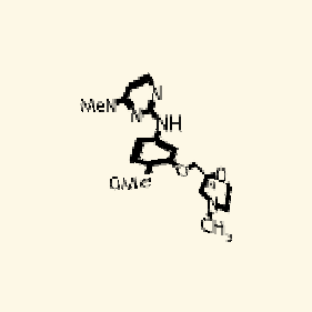 CNc1ccnc(Nc2ccc(OC)c(OC[C@@H]3CN(C)CCO3)c2)n1